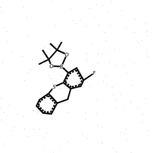 CC1(C)OB(c2cc(F)cc3c2Sc2ccccc2C3)OC1(C)C